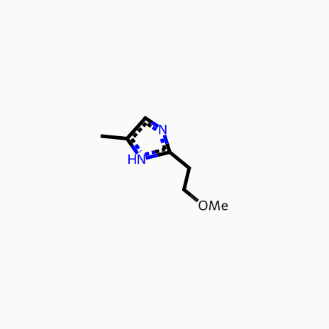 COCCc1ncc(C)[nH]1